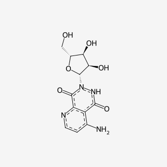 Nc1ccnc2c(=O)n([C@@H]3O[C@H](CO)[C@@H](O)[C@H]3O)[nH]c(=O)c12